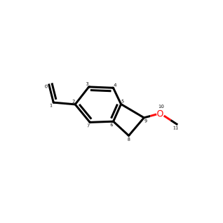 C=Cc1ccc2c(c1)CC2OC